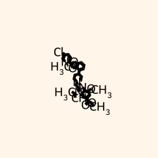 COC(=O)c1cc(OC)c2nc(CN3CCC(c4cccc5c4O[C@@](C)(c4ccc(Cl)cn4)O5)CC3)n(C(C)C)c2c1